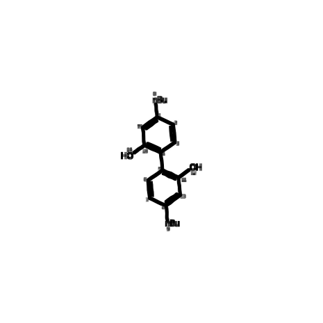 CCCCc1ccc(-c2ccc(CCCC)cc2O)c(O)c1